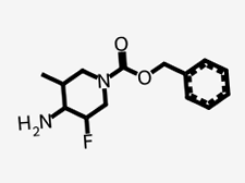 CC1CN(C(=O)OCc2ccccc2)CC(F)C1N